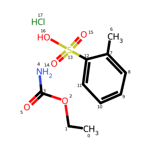 CCOC(N)=O.Cc1ccccc1S(=O)(=O)O.Cl